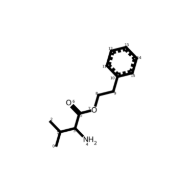 CC(C)C(N)C(=O)OCCc1ccccc1